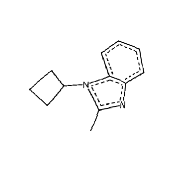 Cc1nc2ccccc2n1C1CCC1